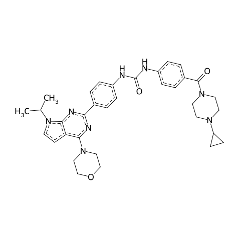 CC(C)n1ccc2c(N3CCOCC3)nc(-c3ccc(NC(=O)Nc4ccc(C(=O)N5CCN(C6CC6)CC5)cc4)cc3)nc21